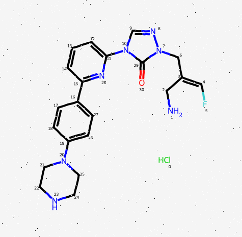 Cl.NC/C(=C\F)Cn1ncn(-c2cccc(-c3ccc(N4CCNCC4)cc3)n2)c1=O